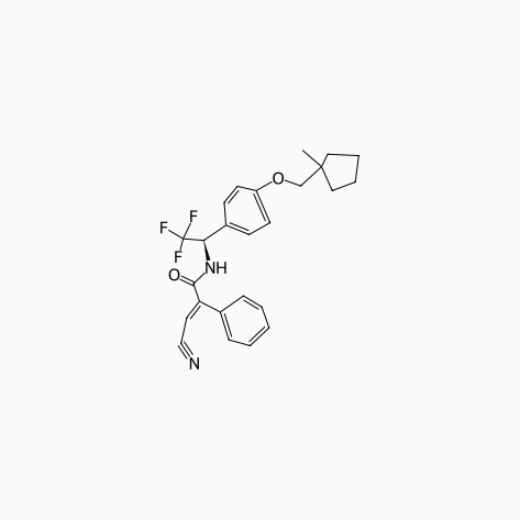 CC1(COc2ccc([C@@H](NC(=O)C(=CC#N)c3ccccc3)C(F)(F)F)cc2)CCCC1